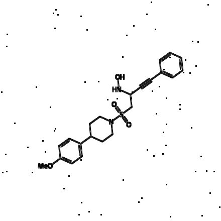 COc1ccc(C2CCN(S(=O)(=O)CC(C#Cc3ccccc3)NO)CC2)cc1